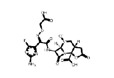 Nc1nc(/C(=N/OCC(=O)O)C(=O)N[C@@H]2C(=O)N3[C@@H]2[S+]([O-])C[C@@H]2CC(=O)O[C@@]23C(=O)O)c(F)s1